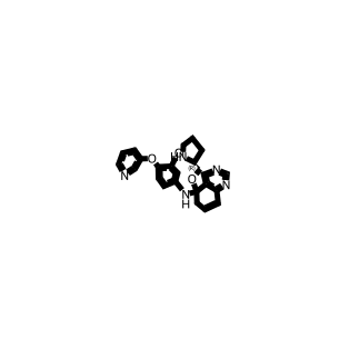 Clc1cc(NC2(OC[C@H]3CCCN3)CC=Cc3ncncc32)ccc1Oc1cccnc1